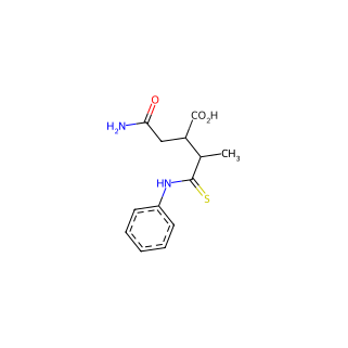 CC(C(=S)Nc1ccccc1)C(CC(N)=O)C(=O)O